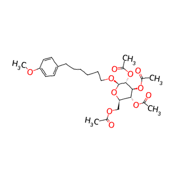 COc1ccc(CCCCCCO[C@@H]2O[C@H](COC(C)=O)[C@@H](OC(C)=O)[C@H](OC(C)=O)[C@H]2OC(C)=O)cc1